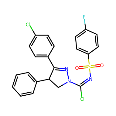 O=S(=O)(/N=C(/Cl)N1CC(c2ccccc2)C(c2ccc(Cl)cc2)=N1)c1ccc(F)cc1